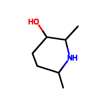 CC1CCC(O)C(C)N1